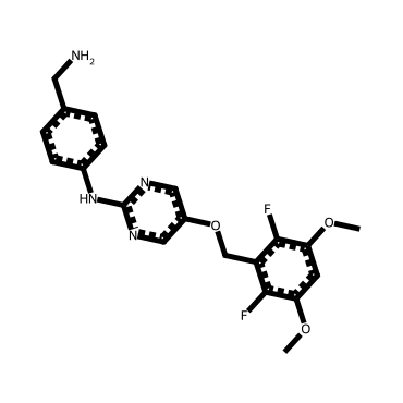 COc1cc(OC)c(F)c(COc2cnc(Nc3ccc(CN)cc3)nc2)c1F